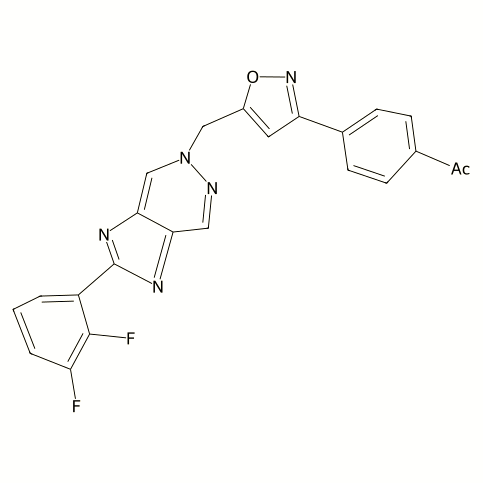 CC(=O)c1ccc(-c2cc(Cn3cc4nc(-c5cccc(F)c5F)nc-4cn3)on2)cc1